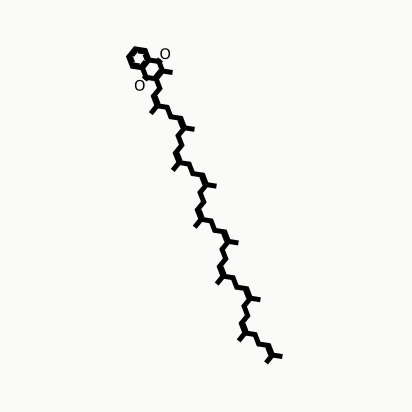 CC(C)=CCCC(C)=CCCC(C)=CCCC(C)=CCCC(C)=CCCC(C)=CCCC(C)=CCCC(C)=CCCC(C)=CCCC(C)=CCC1=C(C)C(=O)c2ccccc2C1=O